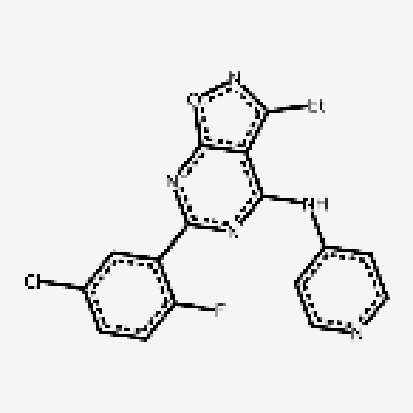 CCc1noc2nc(-c3cc(Cl)ccc3F)nc(Nc3ccncc3)c12